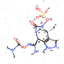 CN/C(=N\OC(=O)N(C)C)[C@@H]1c2c(cnn2C)[C@H]2CN1C(=O)N2OS(=O)(=O)O